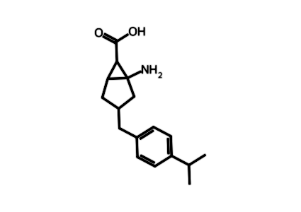 CC(C)c1ccc(CC2CC3C(C(=O)O)C3(N)C2)cc1